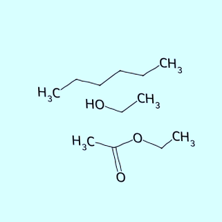 CCCCCC.CCO.CCOC(C)=O